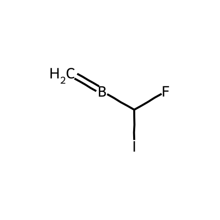 C=BC(F)I